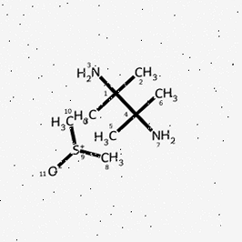 CC(C)(N)C(C)(C)N.C[S+](C)[O-]